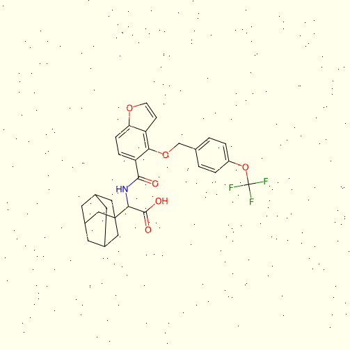 O=C(NC(C(=O)O)C12CC3CC(CC(C3)C1)C2)c1ccc2occc2c1OCc1ccc(OC(F)(F)F)cc1